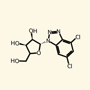 OCC1O[C@@H](n2nnc3c(Cl)cc(Cl)cc32)[C@H](O)[C@@H]1O